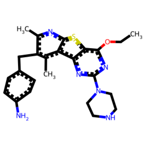 CCOc1nc(N2CCNCC2)nc2c1sc1nc(C)c(Cc3ccc(N)cc3)c(C)c12